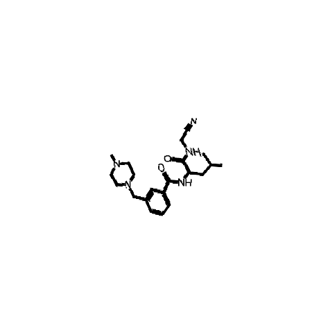 CC(C)CC(NC(=O)c1cccc(CN2CCN(C)CC2)c1)C(=O)NCC#N